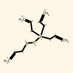 C=CC[Si]O[Si](CC=C)(CC=C)CC=C